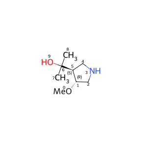 CO[C@H]1CNC[C@@H]1C(C)(C)O